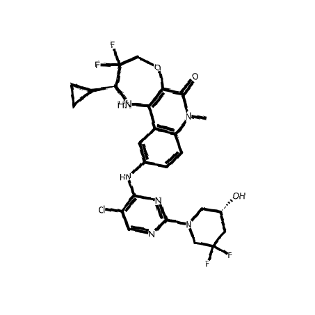 Cn1c(=O)c2c(c3cc(Nc4nc(N5C[C@H](O)CC(F)(F)C5)ncc4Cl)ccc31)N[C@@H](C1CC1)C(F)(F)CO2